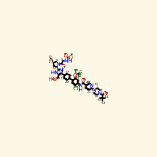 COC(=O)NCC(=O)N1C[C@@H](OC)C[C@H]1c1nc(-c2ccc(-c3cc(Cl)c(NC(=O)c4ccc(N5CCN(C(=O)C(C)(C)C)C[C@H]5C)nc4)cc3OC(F)(F)F)cc2)c(CO)[nH]1